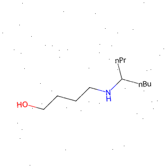 CCCCC(CCC)NCCCCO